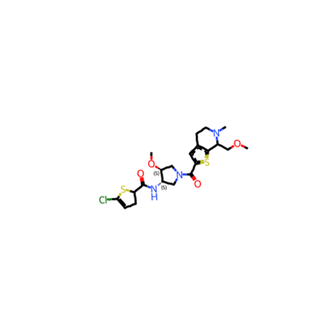 COCC1c2sc(C(=O)N3C[C@H](NC(=O)C4CC=C(Cl)S4)[C@@H](OC)C3)cc2CCN1C